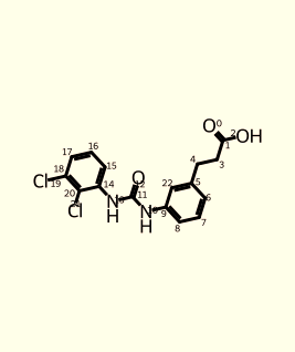 O=C(O)CCc1cccc(NC(=O)Nc2cccc(Cl)c2Cl)c1